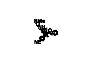 CNCOCNCc1cnc2c(C(=O)CN3CCCCC3)c(C)n(-c3ccc(C#N)cc3)c2c1